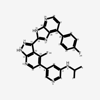 CC(C)Nc1cncc(-c2cnc3[nH]nc(-c4nc5c(-c6ccc(F)cc6)ccnc5[nH]4)c3c2F)c1